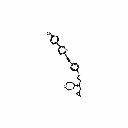 Clc1ccc(-c2ccc(C#Cc3ccc(OCCN(CC4CC4)C4CCOCC4)cc3)nc2)cc1